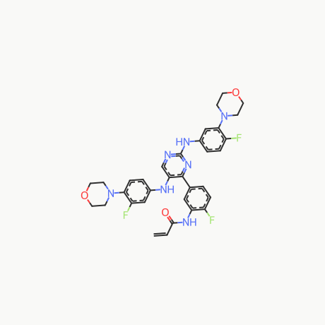 C=CC(=O)Nc1cc(-c2nc(Nc3ccc(F)c(N4CCOCC4)c3)ncc2Nc2ccc(N3CCOCC3)c(F)c2)ccc1F